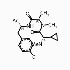 CN[C@H](C(=O)N(C)[C@H](C)C(=O)N[C@H](Cc1ccc(Cl)cc1)C(C)=O)C1CC1